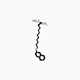 CC(=CCCCCCCCCCOc1ccc2ccccc2c1)C(=O)O